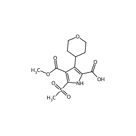 COC(=O)c1c(S(C)(=O)=O)[nH]c(C(=O)O)c1C1CCOCC1